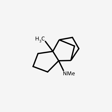 CNC12CCCC1(C)C1CCC2C1